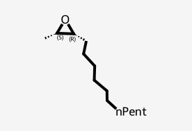 CCCCCCCCCCC[C@H]1O[C@H]1C